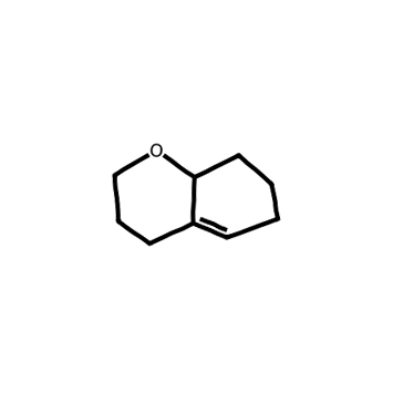 C1=C2CCCOC2CCC1